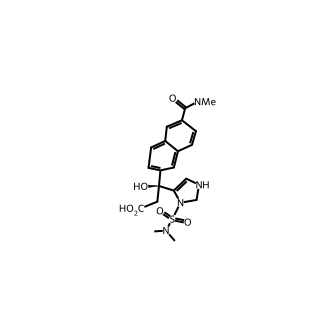 CNC(=O)c1ccc2cc([C@@](O)(CC(=O)O)C3=CNCN3S(=O)(=O)N(C)C)ccc2c1